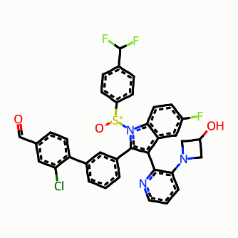 O=Cc1ccc(-c2cccc(-c3c(-c4ncccc4N4CC(O)C4)c4cc(F)ccc4n3[S+]([O-])c3ccc(C(F)F)cc3)c2)c(Cl)c1